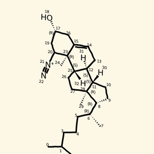 CC(C)CCC[C@@H](C)[C@H]1CC[C@H]2[C@@H]3CC=C4C[C@@H](O)CC([N+]#N)[C@]4(C)[C@H]3CC[C@]12C